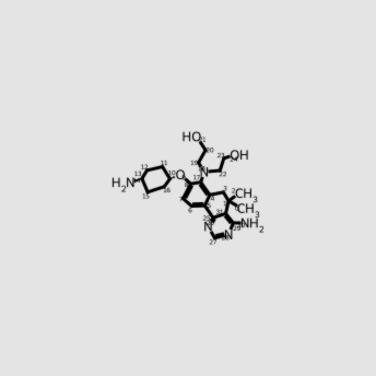 CC1(C)Cc2c(ccc(O[C@H]3CC[C@H](N)CC3)c2N(CCO)CCO)-c2ncnc(N)c21